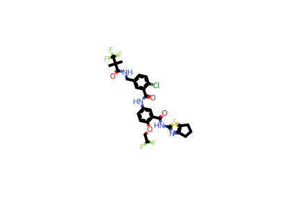 CC(C)(C(=O)NCc1ccc(Cl)c(C(=O)Nc2ccc(OCC(F)F)c(C(=O)Nc3nc4c(s3)CCC4)c2)c1)C(F)(F)F